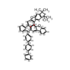 CC1(C)CC(C)(C)c2cc3c(cc21)oc1cc(-c2ccccc2N(c2ccc(-c4ccc(-c5ccccc5)cc4)cc2)c2ccc4oc5ccccc5c4c2)ccc13